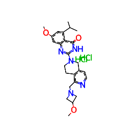 COc1cc(C(C)C)c2c(=O)[nH]c(N3CCc4c(ccnc4CN4CC(OC)C4)C3)nc2c1.Cl.Cl